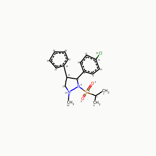 CC(C)S(=O)(=O)N1C(c2ccc(Cl)cc2)C(c2ccccc2)CN1C